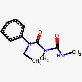 CCN(C(=O)N(C)C(=O)NC)c1ccccc1